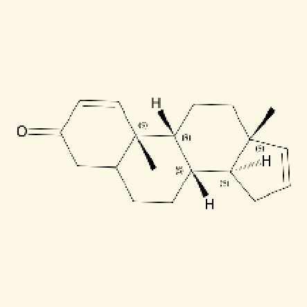 C[C@@]12C=CC[C@H]1[C@@H]1CCC3CC(=O)C=C[C@]3(C)[C@@H]1CC2